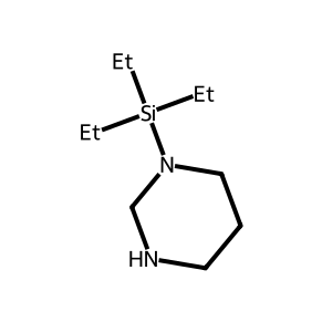 CC[Si](CC)(CC)N1CCCNC1